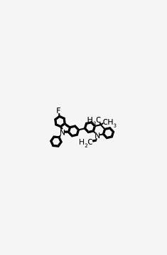 C=CN1c2ccccc2C(C)(C)c2ccc(-c3ccc4c(c3)c3cc(F)ccc3n4-c3ccccc3)cc21